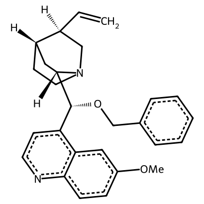 C=C[C@H]1CN2CC[C@H]1C[C@H]2[C@H](OCc1ccccc1)c1ccnc2ccc(OC)cc12